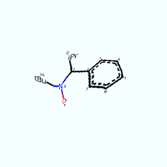 CC(C)C(c1ccccc1)N([O])C(C)(C)C